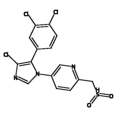 O=[SH](=O)Cc1ccc(-n2cnc(Cl)c2-c2ccc(Cl)c(Cl)c2)cn1